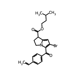 C=Cc1ccc(C(=O)c2c(Br)cc3n2CCC3C(=O)OCCC(C)C)cc1